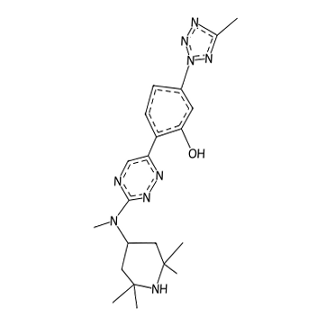 Cc1nnn(-c2ccc(-c3cnc(N(C)C4CC(C)(C)NC(C)(C)C4)nn3)c(O)c2)n1